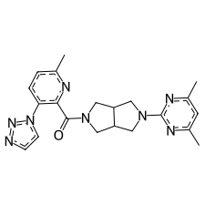 Cc1cc(C)nc(N2CC3CN(C(=O)c4nc(C)ccc4-n4ccnn4)CC3C2)n1